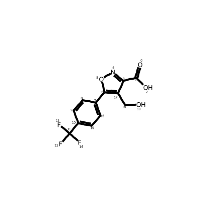 O=C(O)c1noc(-c2ccc(C(F)(F)F)cc2)c1CO